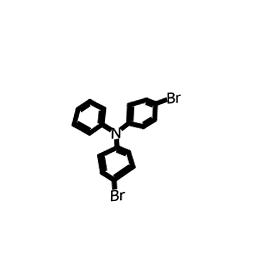 Brc1ccc(N(c2ccccc2)c2ccc(Br)cc2)cc1